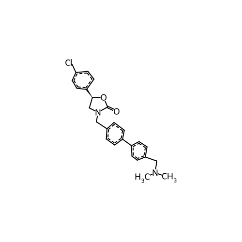 CN(C)Cc1ccc(-c2ccc(CN3C[C@@H](c4ccc(Cl)cc4)OC3=O)cc2)cc1